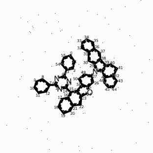 c1ccc(-c2nc(-c3ccccc3)nc(-c3c4ccccc4cc4oc5cc(-n6c7cc8ccccc8cc7c7ccc8ccccc8c76)ccc5c34)n2)cc1